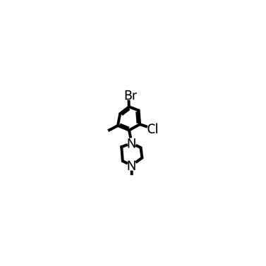 Cc1cc(Br)cc(Cl)c1N1CCN(C)CC1